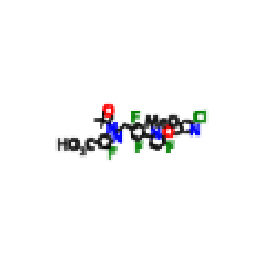 COc1cc(Cl)ncc1COc1nc(-c2cc(F)c(Cc3nc4c(F)cc(C(=O)O)cc4n3C3COCC3(C)C)cc2F)ccc1F